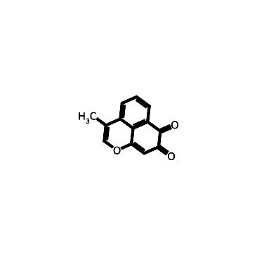 CC1=COC2=CC(=O)C(=O)c3cccc1c32